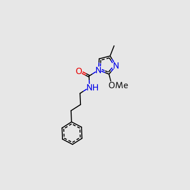 COc1nc(C)cn1C(=O)NCCCc1ccccc1